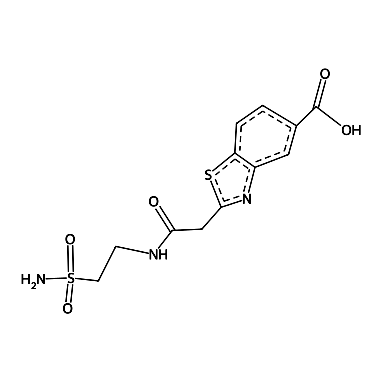 NS(=O)(=O)CCNC(=O)Cc1nc2cc(C(=O)O)ccc2s1